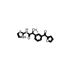 CC(C(=O)NC1NC=CS1)c1cccc(C(=O)c2ccco2)c1